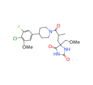 COCC1(CC(C)C(=O)N2CCC(c3cc(F)c(Cl)c(OC)c3)CC2)NC(=O)NC1=O